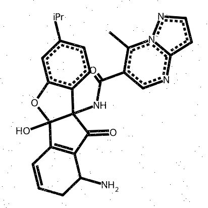 Cc1c(C(=O)NC23C(=O)C4=C(C=CCC4N)C2(O)Oc2cc(C(C)C)ccc23)cnc2ccnn12